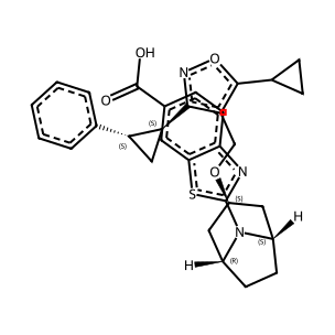 O=C(O)c1ccc2nc(N3[C@@H]4CC[C@H]3C[C@H](OCc3c([C@H]5C[C@@H]5c5ccccc5)noc3C3CC3)C4)sc2c1